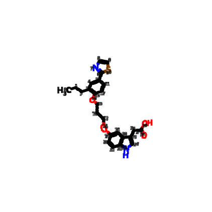 CCCc1cc(-c2nccs2)ccc1OCCCOc1ccc2[nH]cc(CC(=O)O)c2c1